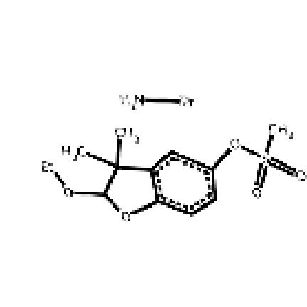 CC(C)N.CCOC1Oc2ccc(OS(C)(=O)=O)cc2C1(C)C